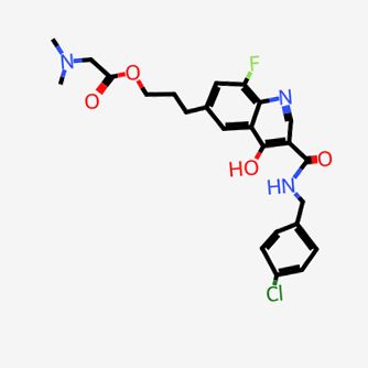 CN(C)CC(=O)OCCCc1cc(F)c2ncc(C(=O)NCc3ccc(Cl)cc3)c(O)c2c1